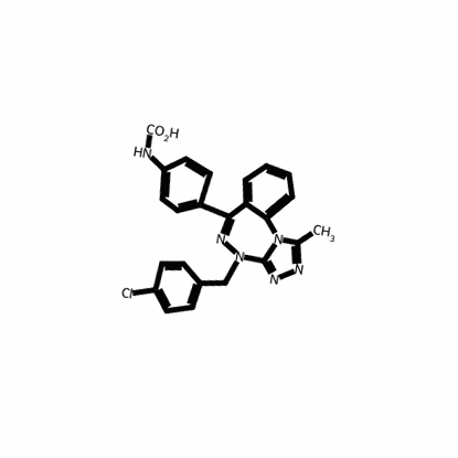 Cc1nnc2n1-c1ccccc1C(c1ccc(NC(=O)O)cc1)=NN2Cc1ccc(Cl)cc1